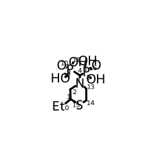 CCC1CN(C(P(=O)(O)O)P(=O)(O)O)CCS1